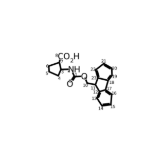 O=C(NC1CCCC1C(=O)O)OCC1c2ccccc2-c2ccccc21